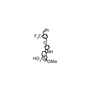 COC(=O)CC1c2[nH]c3ccc(OCc4ccc(CC(C)C)c(C(F)(F)F)c4)cc3c2CCN1C(=O)O